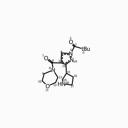 CC(C)(C)C(=O)n1cc(C(=O)N2CCOCC2)c(C2CCNC2)n1